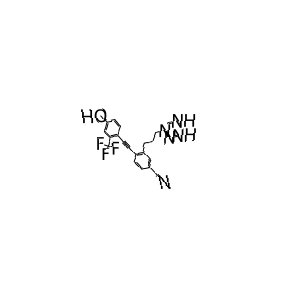 N#Cc1ccc(C#Cc2ccc(O)cc2C(F)(F)F)c(CCCN(C=N)N=N)c1